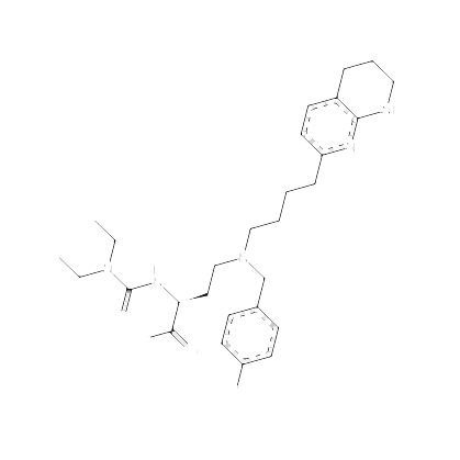 CCN(CC)C(=O)N[C@@H](CCN(CCCCc1ccc2c(n1)NCCC2)Cc1ccc(F)cc1)C(=O)O